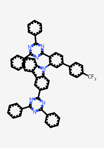 FC(F)(F)c1ccc(-c2ccc(-c3nc(-c4ccccc4)nc(-c4ccccc4)n3)c(-n3c4ccccc4c4cc(-c5nc(-c6ccccc6)nc(-c6ccccc6)n5)ccc43)c2)cc1